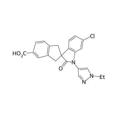 CCn1cc(N2C(=O)C3(Cc4ccc(C(=O)O)cc4C3)c3ccc(Cl)cc32)cn1